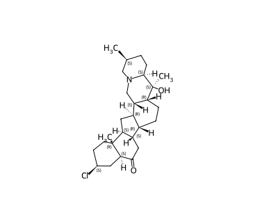 C[C@H]1CC[C@@H]2N(C1)C[C@H]1[C@@H]3C[C@H]4[C@@H](CC(=O)[C@H]5C[C@@H](Cl)CC[C@@]54C)[C@H]3CC[C@H]1[C@]2(C)O